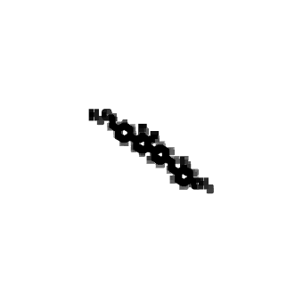 CCCC1CCC(c2ccc(-c3ccc(/C=C/C4=CCC(C)C=C4F)cc3)c(F)c2F)CC1